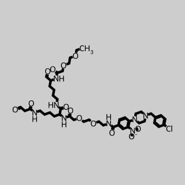 CCOCCOCC(=O)NC(C=O)CCCCNC(=O)C(CCCCNC(=O)CC=O)NC(=O)COCCOCCNC(=O)c1ccc(N2CCN(Cc3ccc(Cl)cc3)CC2)c([N+](=O)[O-])c1